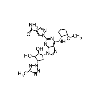 CO[C@H]1CCC[C@@H]1Nc1nc(-n2cc(C(N)=O)cn2)nc2c1ncn2[C@@H]1C[C@H](n2nnc(C)n2)[C@@H](O)[C@H]1O